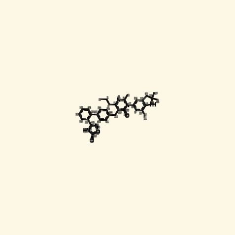 CCCc1nc(C)n(-c2cc(F)c3c(c2)CC(C)(C)P3)c(=O)c1Cc1ccc(-c2ccccc2-c2noc(=O)[nH]2)cc1